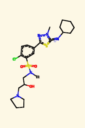 CCN(CC(O)CN1CCCC1)S(=O)(=O)c1cc(-c2nn(C)/c(=N\C3CCCCC3)s2)ccc1Cl